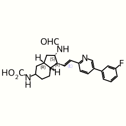 O=CN[C@H]1C[C@H]2CC(NC(=O)O)CC[C@H]2[C@@H]1/C=C/c1ccc(-c2cccc(F)c2)cn1